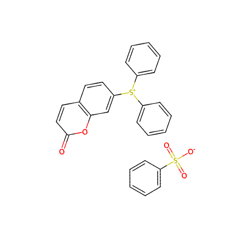 O=S(=O)([O-])c1ccccc1.O=c1ccc2ccc([S+](c3ccccc3)c3ccccc3)cc2o1